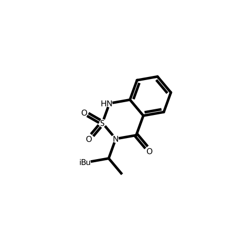 CCC(C)C(C)N1C(=O)c2ccccc2NS1(=O)=O